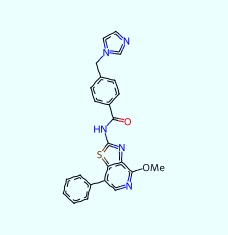 COc1ncc(-c2ccccc2)c2sc(NC(=O)c3ccc(Cn4ccnc4)cc3)nc12